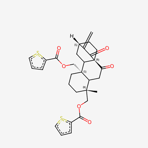 C=C1C(=O)[C@]23CC[C@H]1CC2[C@]1(COC(=O)c2cccs2)CCC[C@@](C)(COC(=O)c2cccs2)C1CC3=O